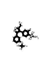 NS(=O)(=O)c1ccc(-c2c(-c3cccc(OC(F)(F)F)c3)noc2CF)cc1F